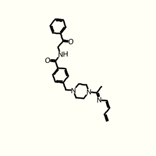 C=C/C=C\N=C(/C)N1CCN(Cc2ccc(C(=O)NCC(=O)c3ccccc3)cc2)CC1